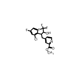 COC(=O)c1cc(CC(c2ccc(F)cc2Cl)C(O)C(F)(F)F)ccn1